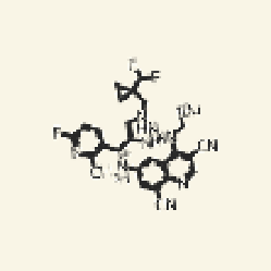 Cc1nc(F)ccc1[C@H](Nc1cc(C#N)c2ncc(C#N)c(NCC(C)(C)C)c2c1)C1=CN(CC2(C(F)F)CC2)NN1